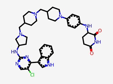 O=C1CCC(Nc2ccc(N3CCC(CN4CCC(CN5CCC(Nc6ncc(Cl)c(-c7c[nH]c8ccccc78)n6)C5)CC4)CC3)cc2)C(=O)N1